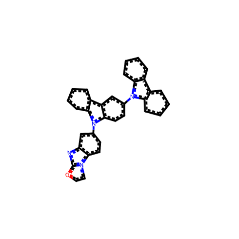 c1ccc2c(c1)c1ccccc1n2-c1ccc2c(c1)c1ccccc1n2-c1ccc2c(c1)nc1occn12